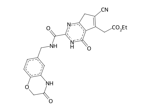 CCOC(=O)CC1=C(C#N)Cc2nc(C(=O)NCc3ccc4c(c3)NC(=O)CO4)[nH]c(=O)c21